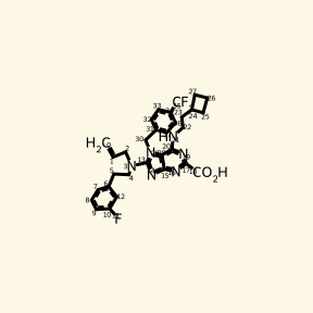 C=CCN(CCc1cccc(F)c1)c1nc2nc(C(=O)O)nc(NCCC3CCC3)c2n1Cc1ccc(C(F)(F)F)cc1